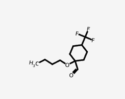 CCCCOC1(C=O)CCC(C(F)(F)F)CC1